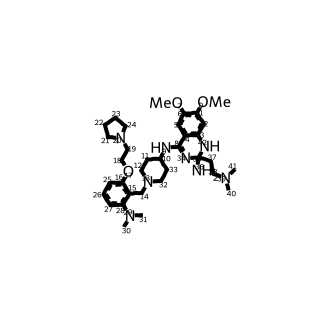 COc1cc2c(cc1OC)C(NC1CCN(Cc3c(OCCN4CCCC4)cccc3N(C)C)CC1)=NC(N)(CCN(C)C)N2